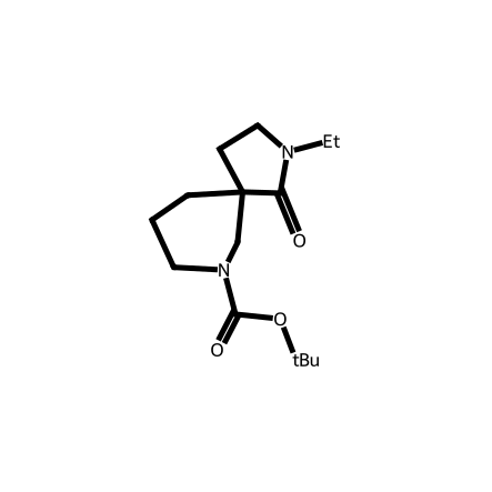 CCN1CCC2(CCCN(C(=O)OC(C)(C)C)C2)C1=O